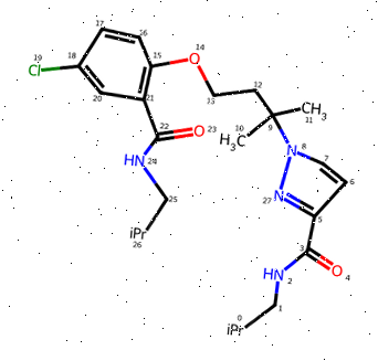 CC(C)CNC(=O)c1ccn(C(C)(C)CCOc2ccc(Cl)cc2C(=O)NCC(C)C)n1